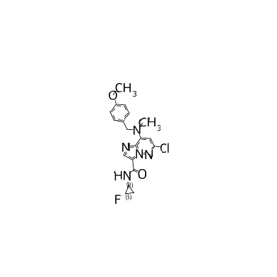 COc1ccc(CN(C)c2cc(Cl)nn3c(C(=O)N[C@@H]4C[C@@H]4F)cnc23)cc1